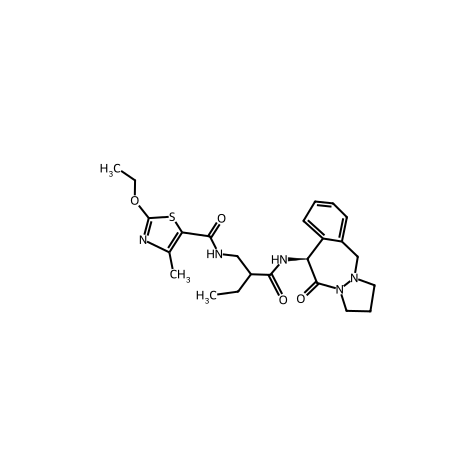 CCOc1nc(C)c(C(=O)NCC(CC)C(=O)N[C@@H]2C(=O)N3CCCN3Cc3ccccc32)s1